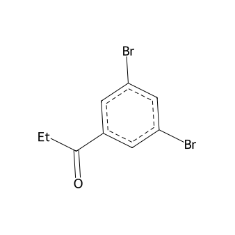 CCC(=O)c1cc(Br)cc(Br)c1